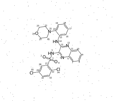 O=S(=O)(Nc1nc2ccccc2nc1Nc1ccccc1N1CCOCC1)c1cc(Cl)ccc1Cl